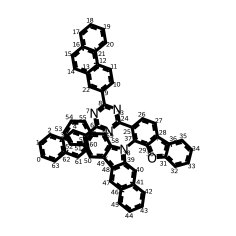 c1ccc2cc(-c3nc(-c4ccc5c(ccc6ccccc65)c4)nc(-c4ccc5c(oc6ccccc65)c4-n4c5cc6ccccc6cc5c5cc6ccccc6cc54)n3)ccc2c1